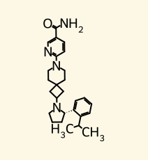 CC(C)c1ccccc1[C@@H]1CCCN1C1CC2(CCN(c3ccc(C(N)=O)cn3)CC2)C1